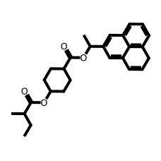 CCC(C)C(=O)OC1CCC(C(=O)OC(C)c2cc3c4c(cccc4c2)CC=C3)CC1